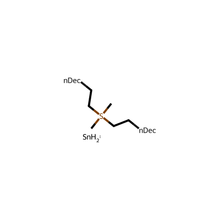 CCCCCCCCCCCCS(C)(C)CCCCCCCCCCCC.[SnH2]